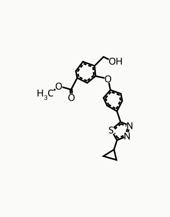 COC(=O)c1ccc(CO)c(Oc2ccc(-c3nnc(C4CC4)s3)cc2)c1